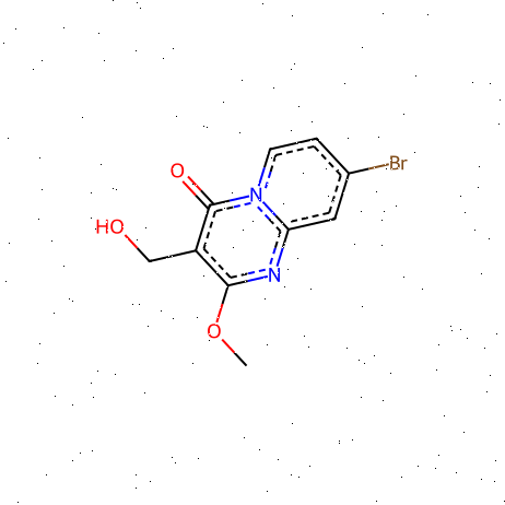 COc1nc2cc(Br)ccn2c(=O)c1CO